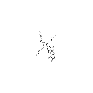 CCCOCCOc1cc(OCCOCCC)c(-c2cc(F)c(C(F)(F)Oc3cc(F)c(F)c(F)c3)c(F)c2)c(OCCOCCC)c1